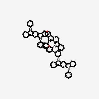 c1ccc(-n2c3ccccc3c3cc4c(cc32)c2ccccc2n4-c2cccc(-c3ccc(-c4cccc(-n5c6ccccc6c6cc7c(cc65)c5ccccc5n7-c5ccccc5)c4)c(-n4c5ccccc5c5ccc6c7ccccc7n(-c7ccccc7)c6c54)c3)c2)cc1